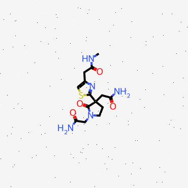 CNC(=O)Cc1csc(C2(CC(N)=O)CCN(CC(N)=O)C2=O)n1